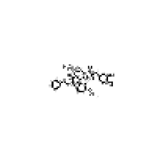 COc1ccc2c3c1O[C@H]1[C@@H](N(C)C(=O)Cc4ccc(Cl)c(Cl)c4)CC[C@@]4(OC(C)=O)[C@@H](C2)N(CCc2ccccc2)CC[C@]314